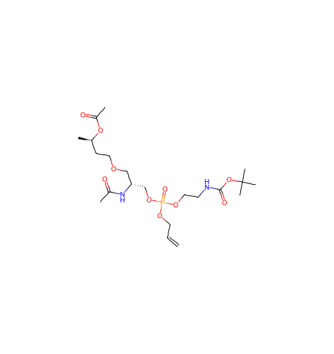 C=CCOP(=O)(OCCNC(=O)OC(C)(C)C)OC[C@@H](COCC[C@@H](C)OC(C)=O)NC(C)=O